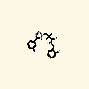 Cc1cccc(-c2nnn(CC(C)(C)C(=O)NCc3ccccc3Cl)n2)c1